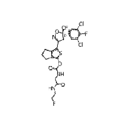 O=C(CNC(=O)Oc1sc(C2=NO[C@@](c3cc(Cl)c(F)c(Cl)c3)(C(F)(F)F)C2)c2c1CCC2)NCCF